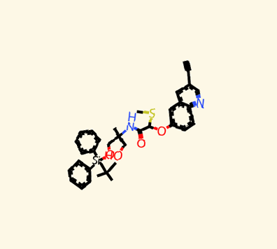 C#Cc1cnc2ccc(OC(SC)C(=O)NC(C)(CO)CO[Si](c3ccccc3)(c3ccccc3)C(C)(C)C)cc2c1